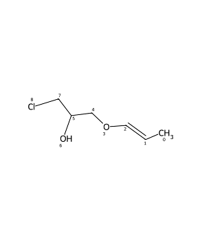 C/C=C/OCC(O)CCl